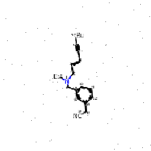 CCN(CC=CC#CC(C)(C)C)Cc1cccc(CC#N)c1